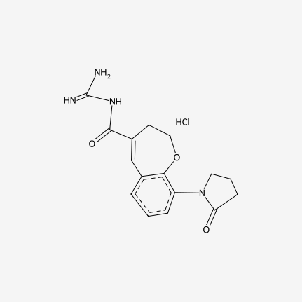 Cl.N=C(N)NC(=O)C1=Cc2cccc(N3CCCC3=O)c2OCC1